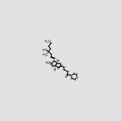 CCCC[C@](C)(O)C/C=C/[C@@H]1[C@H]2CC(CCCC(=O)N3CCOCC3)=C[C@H]2C[C@H]1O